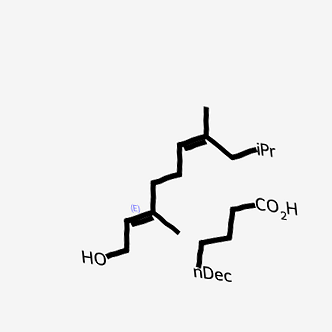 CC(=CCC/C(C)=C/CO)CC(C)C.CCCCCCCCCCCCCC(=O)O